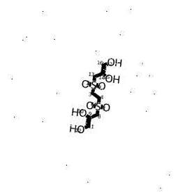 O=S(=O)(CCS(=O)(=O)CC(O)=CO)CC(O)=CO